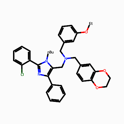 CCCCn1c(-c2ccccc2Cl)nc(-c2ccccc2)c1CN(Cc1cccc(OCC)c1)Cc1ccc2c(c1)OCCO2